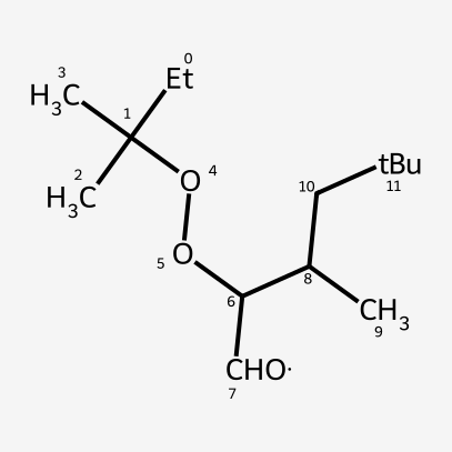 CCC(C)(C)OOC([C]=O)C(C)CC(C)(C)C